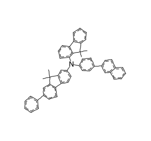 CC1(C)c2cc(-c3ccccc3)ccc2-c2ccc(N(c3ccc(-c4ccc5ccccc5c4)cc3)c3cccc4c3C(C)(C)c3ccccc3-4)cc21